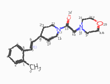 Cc1ccccc1/C=C/C1CCN(C(=O)CN2CCOCC2)CC1